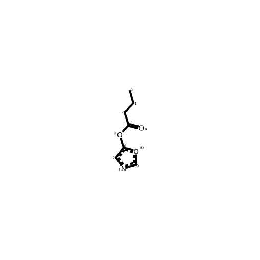 CCCC(=O)Oc1cnco1